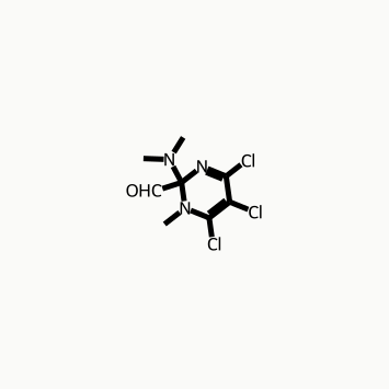 CN(C)C1(C=O)N=C(Cl)C(Cl)=C(Cl)N1C